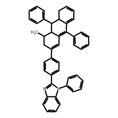 CC1CC(c2ccc(-c3nc4ccccc4n3-c3ccccc3)cc2)=CC2=C(c3ccccc3)C3=CC=CCC3C(c3ccccc3)C21